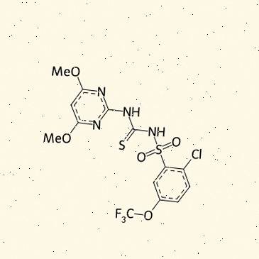 COc1cc(OC)nc(NC(=S)NS(=O)(=O)c2cc(OC(F)(F)F)ccc2Cl)n1